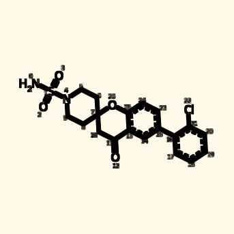 NS(=O)(=O)N1CCC2(CC1)CC(=O)c1cc(-c3ccccc3Cl)ccc1O2